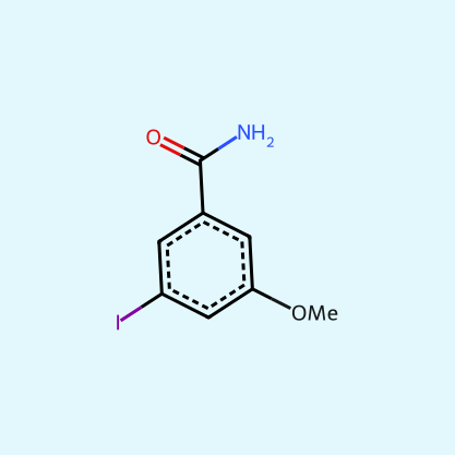 COc1cc(I)cc(C(N)=O)c1